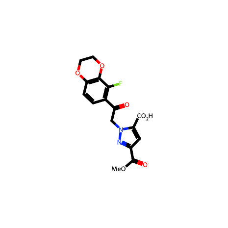 COC(=O)c1cc(C(=O)O)n(CC(=O)c2ccc3c(c2F)OCCO3)n1